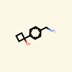 NCc1ccc(C2(O)CCC2)cc1